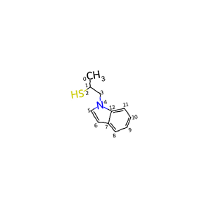 CC(S)Cn1ccc2ccccc21